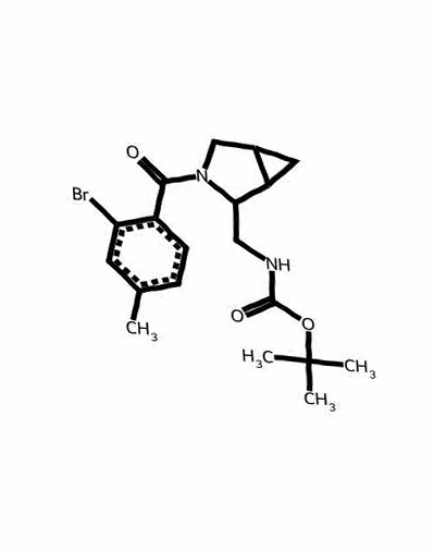 Cc1ccc(C(=O)N2CC3CC3C2CNC(=O)OC(C)(C)C)c(Br)c1